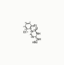 CCCCNC1N=CN(c2c(CC)cccc2CC)C(=O)N1